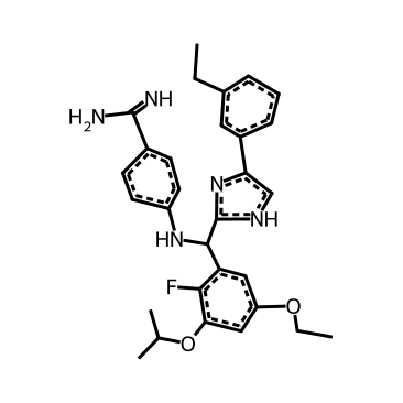 CCOc1cc(OC(C)C)c(F)c(C(Nc2ccc(C(=N)N)cc2)c2nc(-c3cccc(CC)c3)c[nH]2)c1